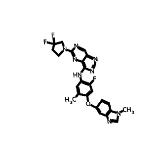 Cc1cc(Nc2ncnc3cnc(N4CCC(F)(F)C4)nc23)c(F)cc1Oc1ccc2c(c1)ncn2C